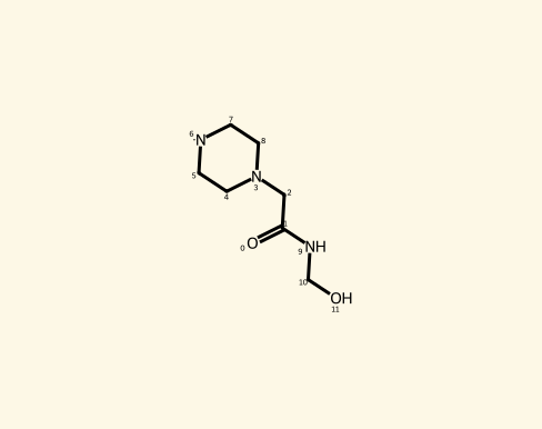 O=C(CN1CC[N]CC1)NCO